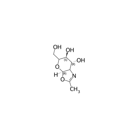 CC1=NC2[C@@H](O1)OC(CO)[C@@H](O)[C@@H]2O